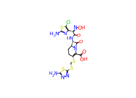 Nc1nnc(SCSC2=C(C(=O)O)N3C(=O)C(NC(=O)/C(=N\O)c4nc(N)sc4Cl)C3CC2)s1